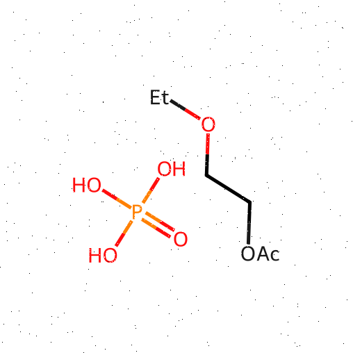 CCOCCOC(C)=O.O=P(O)(O)O